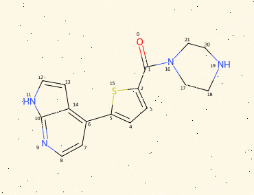 O=C(c1ccc(-c2ccnc3[nH]ccc23)s1)N1CCNCC1